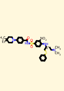 CCC1(C)CCN(c2ccc(C(=O)NS(=O)(=O)c3ccc(N[C@H](CCN(C)C)CSc4ccccc4)c([N+](=O)[O-])c3)cc2)CC1